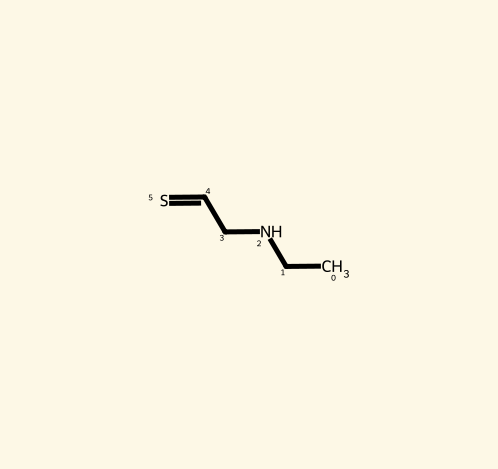 CCNCC=S